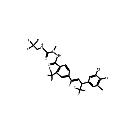 Cc1cc(C(/C=C(\F)c2ccc(C(=O)NN(C)C(=O)NCC(F)(F)F)c(C(F)(F)F)c2)C(F)(F)F)cc(Cl)c1Cl